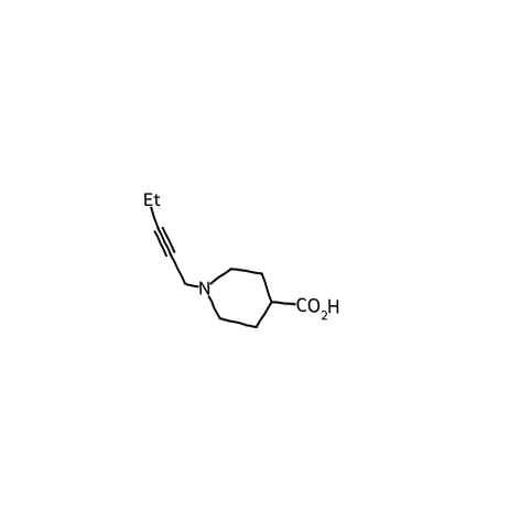 CCC#CCN1CCC(C(=O)O)CC1